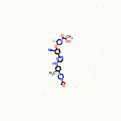 Cc1cc(Nc2ccnc(-c3ccc(O[C@H]4CCN(C(=O)[C@H](C)O)C[C@H]4F)c(C#N)c3)n2)ccc1N1CCN(C2COC2)CC1